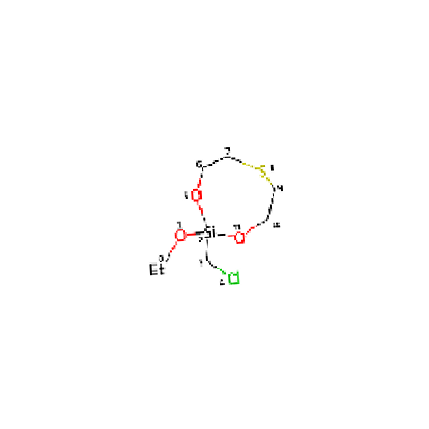 CCO[Si]1(CCl)OCCSCCO1